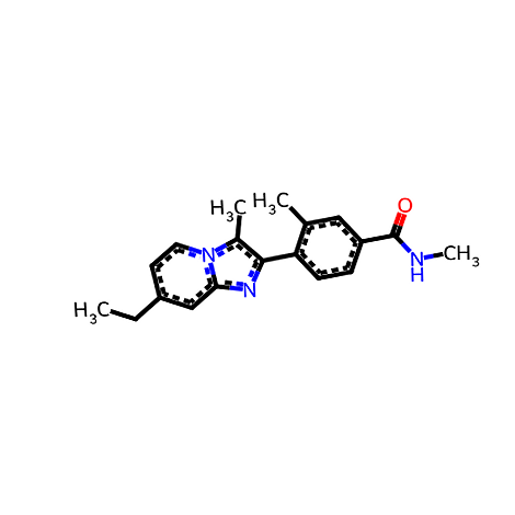 CCc1ccn2c(C)c(-c3ccc(C(=O)NC)cc3C)nc2c1